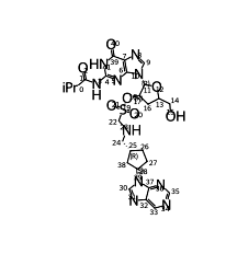 CC(C)C(=O)Nc1nc2c(ncn2[C@@H]2OC(CO)C[C@H]2OS(=O)(=O)CNC[C@@H]2CC[C@H](n3cnc4cncnc43)C2)c(=O)[nH]1